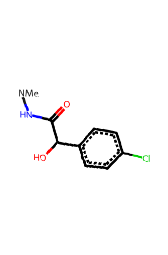 CNNC(=O)C(O)c1ccc(Cl)cc1